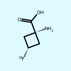 N[C@]1(C(=O)O)C[C@H]([18F])C1